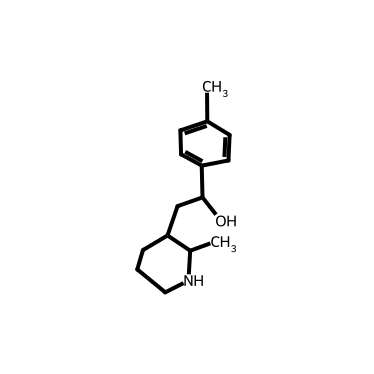 Cc1ccc(C(O)CC2CCCNC2C)cc1